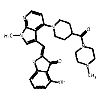 CN1CCN(C(=O)C2CCN(c3ccnc4c3c(C=C3Oc5cccc(O)c5C3=O)cn4C)CC2)CC1